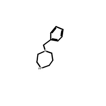 c1ccc(CN2CCCPCC2)cc1